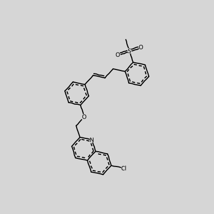 CS(=O)(=O)c1ccccc1CC=Cc1cccc(OCc2ccc3ccc(Cl)cc3n2)c1